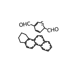 O=CC1=CSC(C=O)C=C1.c1ccc2c(c1)ccc1c3c(ccc12)CCCC3